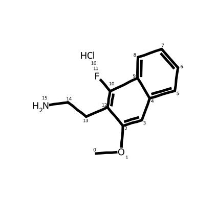 COc1cc2ccccc2c(F)c1CCN.Cl